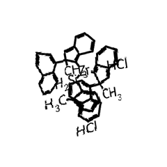 Cc1ccccc1[SiH2][Zr]([C]1=c2ccccc2=CC1(C)c1cccc2ccccc12)[C]1=c2ccccc2=CC1(C)c1cccc2ccccc12.Cl.Cl